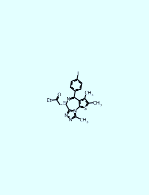 CCC(=O)C[C@@H]1N=C(c2ccc(I)cc2)c2c(sc(C)c2C)-n2c(C)nnc21